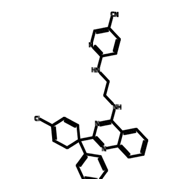 N#Cc1ccc(NCCNc2nc(C3(c4ccccc4)C=CC(Cl)=CC3)nc3ccccc23)nc1